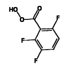 O=C(OO)c1c(F)ccc(F)c1F